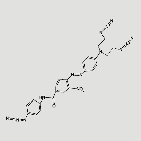 [N-]=[N+]=NCCN(CCN=[N+]=[N-])c1ccc(/N=N/c2ccc(C(=O)Nc3ccc(N=[N+]=[N-])cc3)cc2[N+](=O)[O-])cc1